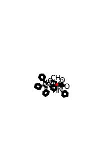 CC(C)(CNc1c(Nc2ccccc2)c(=O)c1=O)OP1N(c2ccccc2)[C@H](c2ccccc2)[C@@H](c2ccccc2)N1c1ccccc1